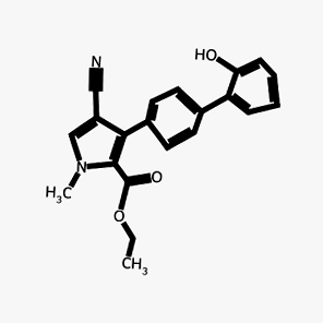 CCOC(=O)c1c(-c2ccc(-c3ccccc3O)cc2)c(C#N)cn1C